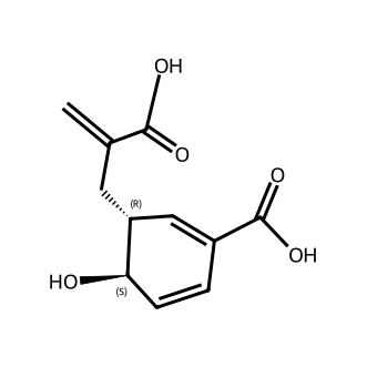 C=C(C[C@@H]1C=C(C(=O)O)C=C[C@H]1O)C(=O)O